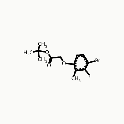 Cc1c(OCC(=O)OC(C)(C)C)ccc(Br)c1I